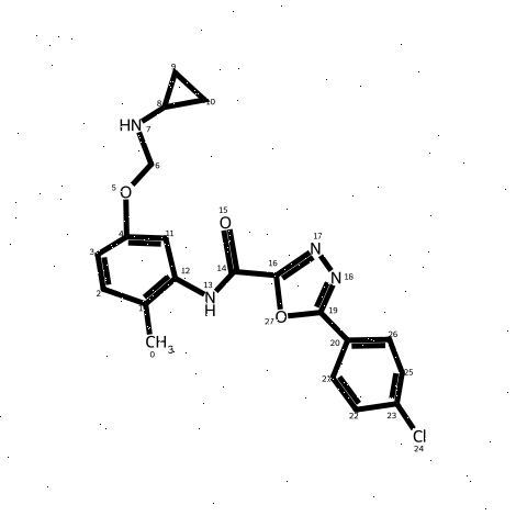 Cc1ccc(OCNC2CC2)cc1NC(=O)c1nnc(-c2ccc(Cl)cc2)o1